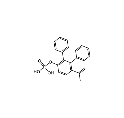 C=C(C)c1ccc(OP(=O)(O)O)c(-c2ccccc2)c1-c1ccccc1